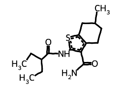 CCC(CC)C(=O)Nc1sc2c(c1C(N)=O)CCC(C)C2